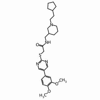 COc1ccc(-c2cnc(SCC(=O)NCC3CCCN(CCC4CCCC4)C3)nc2)cc1OC